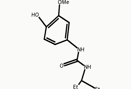 CCC(CC)NC(=O)Nc1ccc(O)c(OC)c1